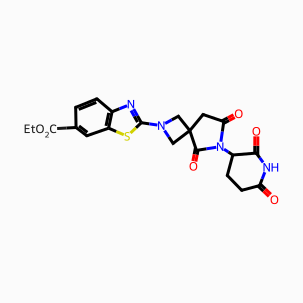 CCOC(=O)c1ccc2nc(N3CC4(CC(=O)N(C5CCC(=O)NC5=O)C4=O)C3)sc2c1